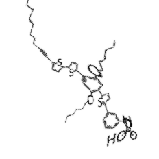 CCCCCCCCC#Cc1ccc(-c2ccc(-c3cc(OCCCCCC)c(-c4ccc(-c5cccc(O[PH](=O)O)c5)s4)cc3OCCCCCC)s2)s1